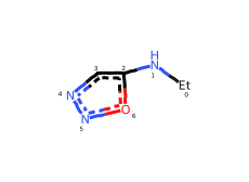 CCNc1[c]nno1